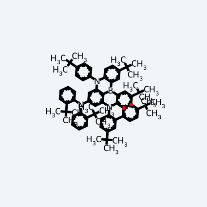 CC(C)(C)c1ccc(-c2cc(C(C)(C)C)ccc2N2c3ccc(C(C)(C)C)cc3B3c4cc(C(C)(C)C)ccc4N(c4ccc(C(C)(C)C)cc4)c4cc(N(c5ccccc5C(C)(C)C)c5ccccc5C(C)(C)C)cc2c43)cc1